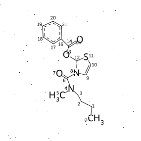 CCCCN(C)C(=O)N1C=CSC1OC(=O)c1ccccc1